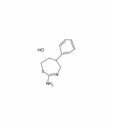 Cl.NC1=NCC(c2ccccc2)CCS1